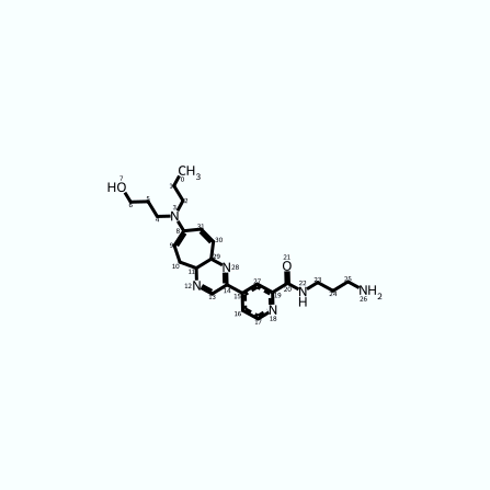 CCCN(CCCO)C1=CCC2N=CC(c3ccnc(C(=O)NCCCN)c3)=NC2C=C1